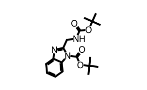 CC(C)(C)OC(=O)NCc1nc2ccccc2n1C(=O)OC(C)(C)C